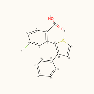 O=C(O)c1ccc(F)cc1-c1sccc1-c1ccccc1